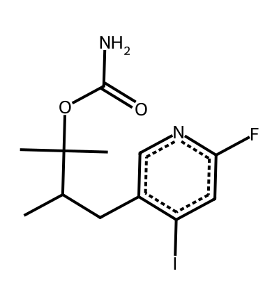 CC(Cc1cnc(F)cc1I)C(C)(C)OC(N)=O